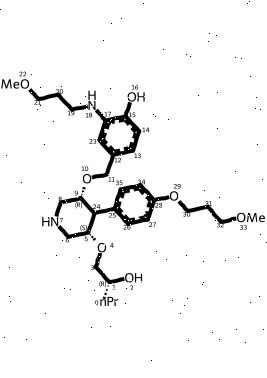 CCC[C@@H](O)CO[C@@H]1CNC[C@H](OCc2ccc(O)c(NCCCOC)c2)C1c1ccc(OCCCOC)cc1